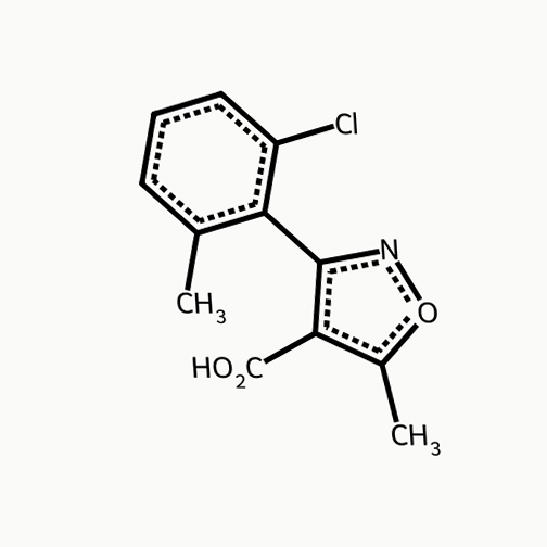 Cc1cccc(Cl)c1-c1noc(C)c1C(=O)O